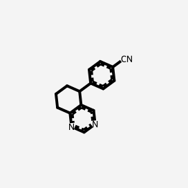 N#Cc1ccc(C2CCCc3ncncc32)cc1